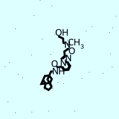 CN(CCCO)C(=O)Cc1cn2c(C(=O)NCC34CC5CCC6(CC6C3)C5C4)cccc2n1